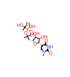 CCC(C)(C[C@H]1O[C@@H](c2cn(C)c(=O)[nH]c2=O)[C@H](O)[C@@H]1O)OP(=O)(O)C(C)(O)CC